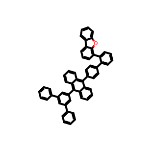 c1ccc(-c2cc(-c3ccccc3)cc(-c3c4ccccc4c(-c4ccc(-c5ccccc5-c5cccc6c5oc5ccccc56)cc4)c4ccccc34)c2)cc1